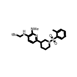 CNc1nc(C2CCCN(S(=O)(=O)c3ccccc3C)C2)ccc1NCC(C)(C)C